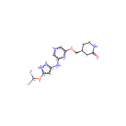 O=C1C[C@@H](COc2cncc(Nc3cc(OC(F)F)[nH]n3)n2)CCN1